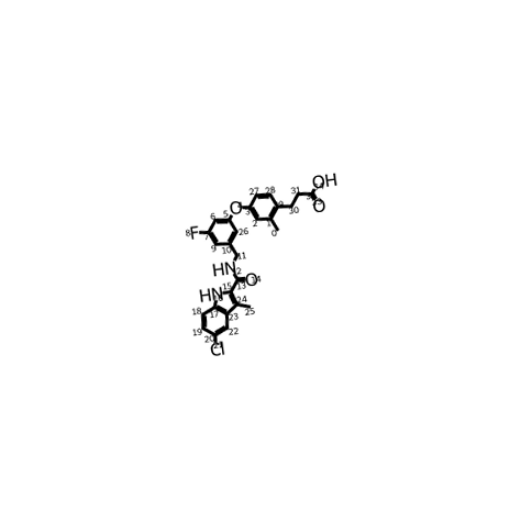 Cc1cc(Oc2cc(F)cc(CNC(=O)c3[nH]c4ccc(Cl)cc4c3C)c2)ccc1CCC(=O)O